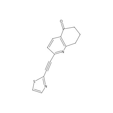 O=C1CCCc2nc(C#Cc3nccs3)ccc21